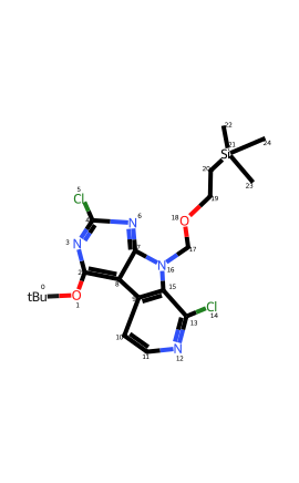 CC(C)(C)Oc1nc(Cl)nc2c1c1ccnc(Cl)c1n2COCC[Si](C)(C)C